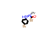 CC(C)N(Nc1ccc(Br)cc1)C(=O)Br